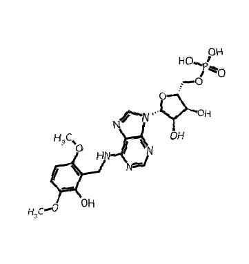 COc1ccc(OC)c(CNc2ncnc3c2ncn3[C@@H]2O[C@H](COP(=O)(O)O)[C@@H](O)[C@H]2O)c1O